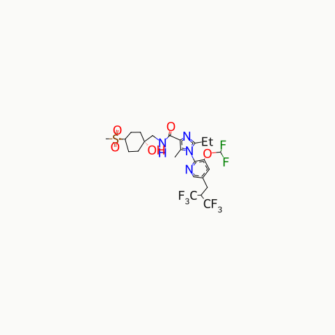 CCc1nc(C(=O)NC[C@]2(O)CC[C@H](S(C)(=O)=O)CC2)c(C)n1-c1ncc(CC(C(F)(F)F)C(F)(F)F)cc1OC(F)F